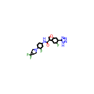 O=C(Nc1ccc(N2CC3C(C2)C3(F)F)c(F)c1)c1coc2cc(-c3nnn[nH]3)c(F)cc12